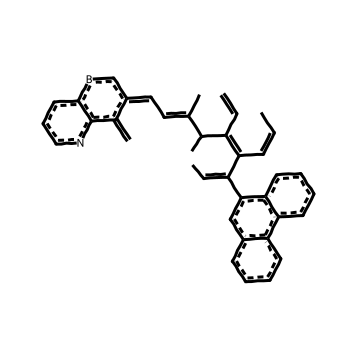 C=C/C(=C(\C=C/C)C(=C\C)/c1cc2ccccc2c2ccccc12)C(C)/C(C)=C/C=c1/cbc2cccnc2c1=C